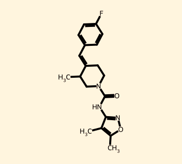 Cc1onc(NC(=O)N2CCC(=Cc3ccc(F)cc3)C(C)C2)c1C